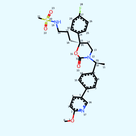 COc1ccc(-c2ccc([C@H](C)N3CC[C@](CCCNS(C)(=O)=O)(c4ccc(F)cc4)OC3=O)cc2)cn1